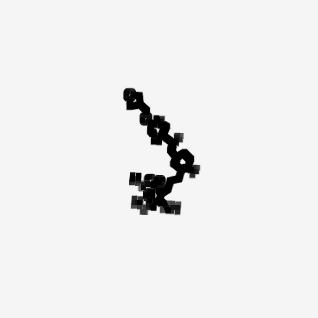 CS(=O)(=O)C(CCCc1cc(/C=C(\F)c2cnc(OCC3COC3)cn2)ccc1F)C(=N)N